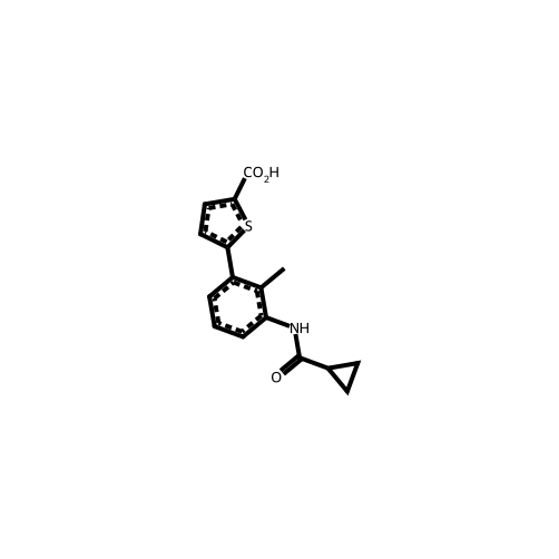 Cc1c(NC(=O)C2CC2)cccc1-c1ccc(C(=O)O)s1